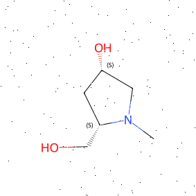 CN1C[C@@H](O)C[C@H]1CO